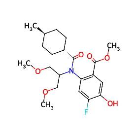 COCC(COC)N(c1cc(F)c(O)cc1C(=O)OC)C(=O)[C@H]1CC[C@H](C)CC1